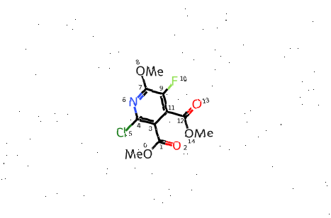 COC(=O)c1c(Cl)nc(OC)c(F)c1C(=O)OC